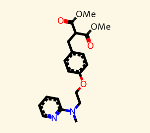 COC(=O)C(Cc1ccc(OCCN(C)c2ccccn2)cc1)C(=O)OC